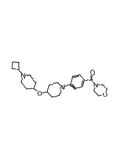 O=C(c1ccc(N2CCC(OC3CCN(C4CCC4)CC3)CC2)cc1)N1CCOCC1